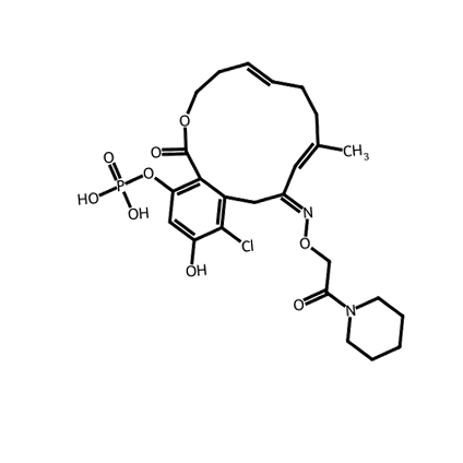 C/C1=C\C(=NOCC(=O)N2CCCCC2)Cc2c(Cl)c(O)cc(OP(=O)(O)O)c2C(=O)OCC/C=C/CC1